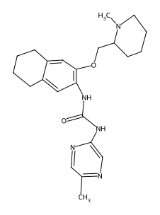 Cc1cnc(NC(=O)Nc2cc3c(cc2OCC2CCCCN2C)CCCC3)cn1